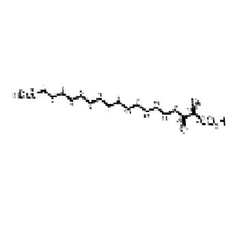 CCCCCCCCCCCCCCCCCCCCCCCCCC(=O)C(=O)C(=O)O